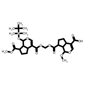 COC(=O)C1CCC2C(C(=O)OCOC(=O)C3CCC4C(C(=O)O)=COC(OC)C34)=COC(O[Si](C)(C)C(C)(C)C)C12